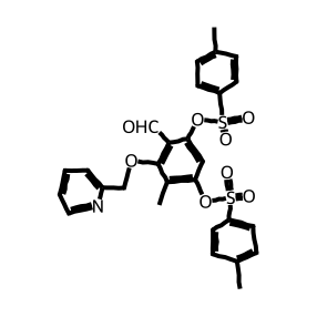 Cc1ccc(S(=O)(=O)Oc2cc(OS(=O)(=O)c3ccc(C)cc3)c(C=O)c(OCc3ccccn3)c2C)cc1